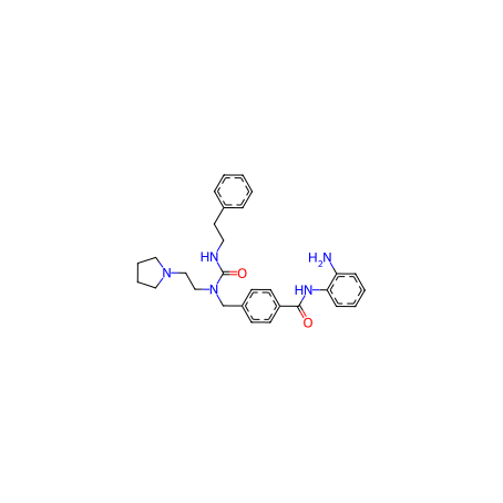 Nc1ccccc1NC(=O)c1ccc(CN(CCN2CCCC2)C(=O)NCCc2ccccc2)cc1